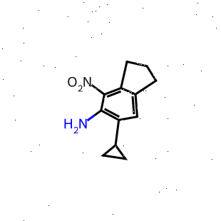 Nc1c(C2CC2)cc2c(c1[N+](=O)[O-])CCC2